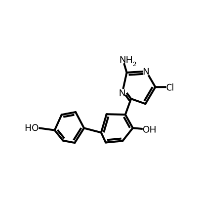 Nc1nc(Cl)cc(-c2cc(-c3ccc(O)cc3)ccc2O)n1